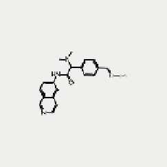 CC(C)OCc1ccc(C(C(=O)Nc2ccc3cnccc3c2)N(C)C)cc1